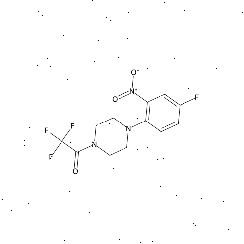 O=C(N1CCN(c2ccc(F)cc2[N+](=O)[O-])CC1)C(F)(F)F